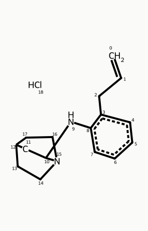 C=CCc1ccccc1NC1CC2CCN1CC2.Cl